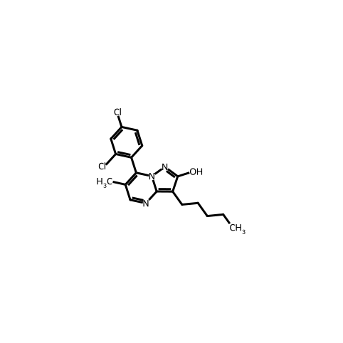 CCCCCc1c(O)nn2c(-c3ccc(Cl)cc3Cl)c(C)cnc12